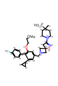 COCCOc1cc(CN2CC3(CC(N4CCC(C)(C(=O)O)CC4)=NO3)C2)cc(C2CC2)c1-c1ccc(F)cc1